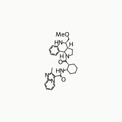 COC[C@@H]1Nc2ccccc2[C@H]2[C@@H]1CCN2C(=O)[C@H]1CCCC[C@H]1NC(=O)c1c(C)nc2ccccn12